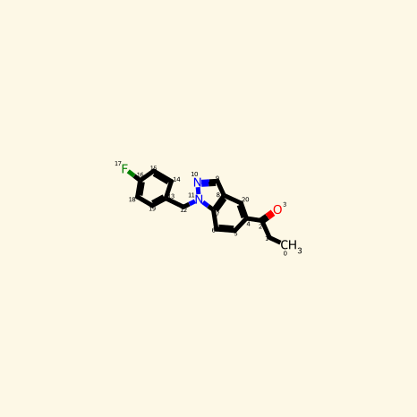 CCC(=O)c1ccc2c(cnn2Cc2ccc(F)cc2)c1